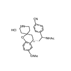 COc1ccc2c(c1)[C@@H](CC(NC(C)=O)c1ccc(C#N)cc1)CC1(CCNCC1)O2.Cl